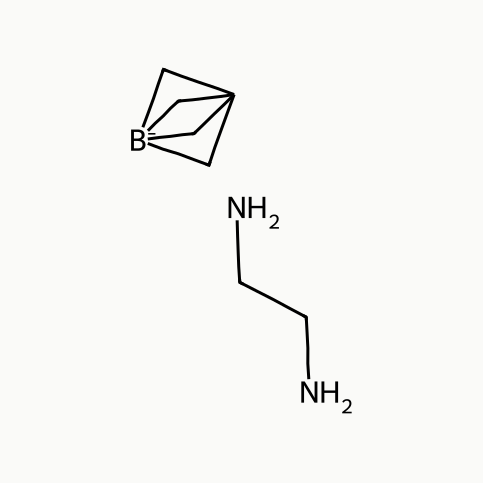 C1[B-]23CC1(C2)C3.NCCN